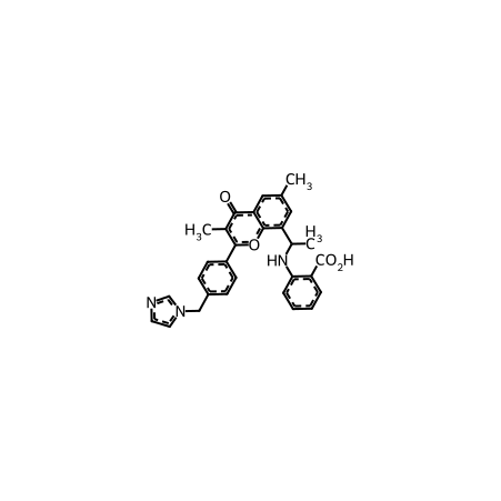 Cc1cc(C(C)Nc2ccccc2C(=O)O)c2oc(-c3ccc(Cn4ccnc4)cc3)c(C)c(=O)c2c1